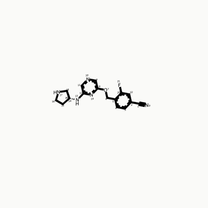 N#Cc1ccc(COc2cncc(N[C@@H]3CCNC3)n2)c(F)c1